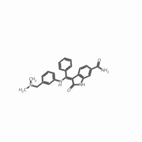 CN(C)Cc1cccc(N/C(=C2\C(=O)Nc3cc(C(N)=O)ccc32)c2ccccc2)c1